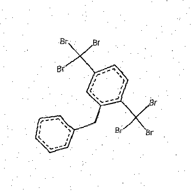 BrC(Br)(Br)c1ccc(C(Br)(Br)Br)c(Cc2ccccc2)c1